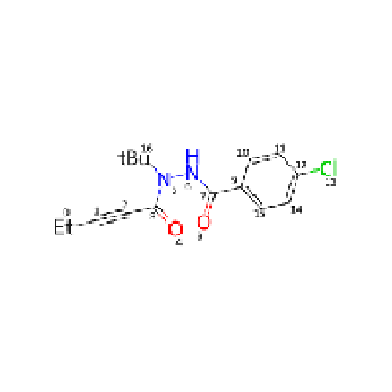 CCC#CC(=O)N(NC(=O)c1ccc(Cl)cc1)C(C)(C)C